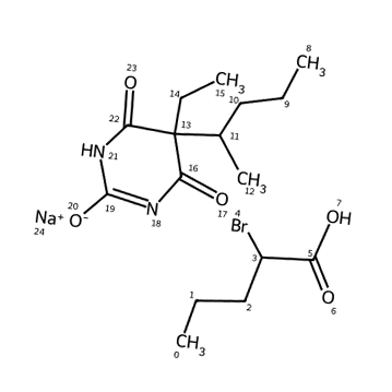 CCCC(Br)C(=O)O.CCCC(C)C1(CC)C(=O)N=C([O-])NC1=O.[Na+]